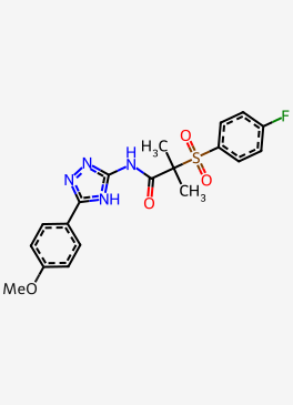 COc1ccc(-c2nnc(NC(=O)C(C)(C)S(=O)(=O)c3ccc(F)cc3)[nH]2)cc1